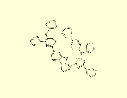 c1ccc(Oc2cnc(-c3ccc4c(c3)oc3c(-c5nc(-c6ccccc6)nc(-n6c7ccccc7c7cc(-c8ccccc8)ccc76)n5)cccc34)nc2-c2ccccc2)cc1